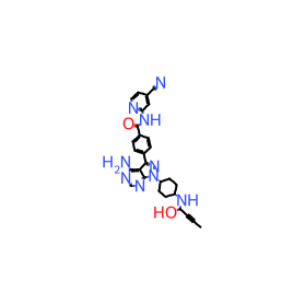 CC#CC(O)N[C@H]1CC[C@H](n2nc(-c3ccc(C(=O)Nc4cc(C#N)ccn4)cc3)c3c(N)ncnc32)CC1